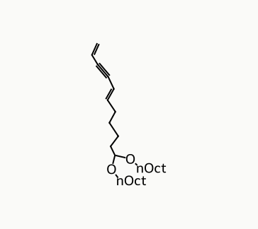 C=CC#C/C=C/CCCCC(OCCCCCCCC)OCCCCCCCC